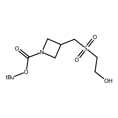 CC(C)(C)OC(=O)N1CC(CS(=O)(=O)CCO)C1